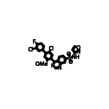 COc1cc(-c2ccc(F)c(Cl)c2)c(Cl)cc1-c1ncnc2cc(S(=O)(=O)Nc3ccon3)ccc12